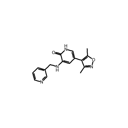 Cc1noc(C)c1-c1c[nH]c(=O)c(NCc2cccnc2)c1